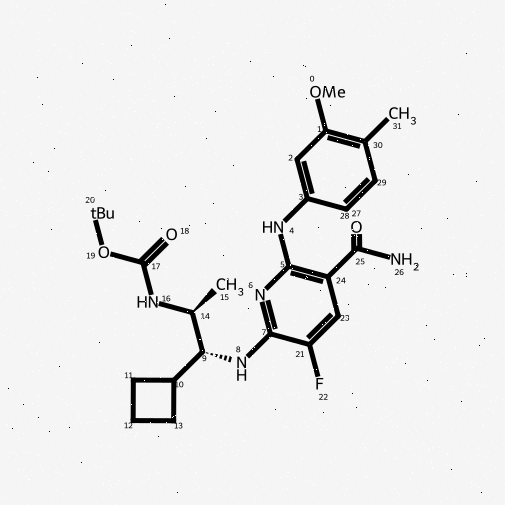 COc1cc(Nc2nc(N[C@H](C3CCC3)[C@H](C)NC(=O)OC(C)(C)C)c(F)cc2C(N)=O)ccc1C